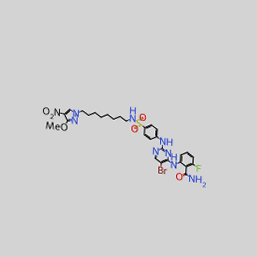 COc1nn(CCCCCCCCNS(=O)(=O)c2ccc(Nc3ncc(Br)c(Nc4cccc(F)c4C(N)=O)n3)cc2)cc1[N+](=O)[O-]